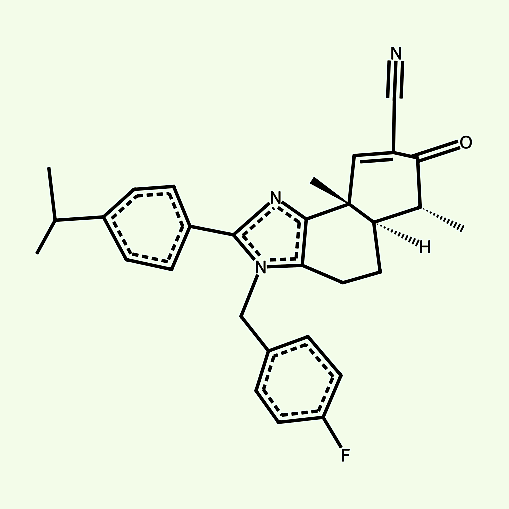 CC(C)c1ccc(-c2nc3c(n2Cc2ccc(F)cc2)CC[C@@H]2[C@@H](C)C(=O)C(C#N)=C[C@@]32C)cc1